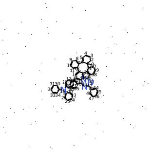 CC12CC=CC=C1c1ccccc1-c1cc(-c3ccc4c(c3)c3ccccc3n4-c3ccccc3)ccc1-c1c(-c3nc(-c4ccccc4)nc(-c4ccccc4)n3)cccc12